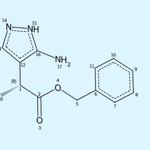 C[C@@H](C(=O)OCc1ccccc1)c1cn[nH]c1N